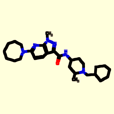 CC1CC(NC(=O)c2nn(C)c3nc(N4CCCCCCC4)ccc23)CCN1CC1CCCCC1